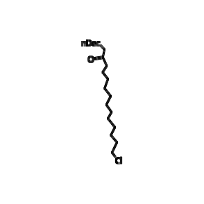 CCCCCCCCCCCC(=O)CCCCCCCCCCCCCl